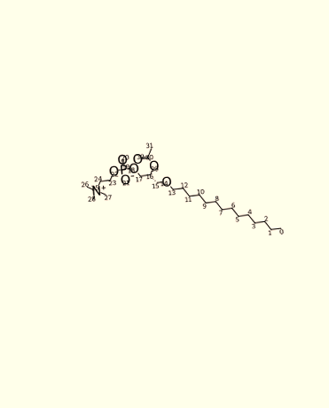 CCCCCCCCCCCCCCOC[C@H](COP(=O)([O-])OCC[N+](C)(C)C)OC(C)=O